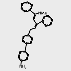 CN/C(=C\C(=C/Cc1ccc(-c2ccc(N)cc2)cc1)c1ccccc1)c1ccccc1